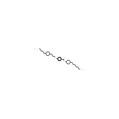 CCCCCCCC1CCC(OC(=O)c2ccc(OCCCC3CCC(CCCCC)CC3)cc2)CC1